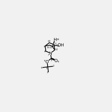 CC(C)(C)OC(=O)N1CC2CCC1[C@@H](O)C2